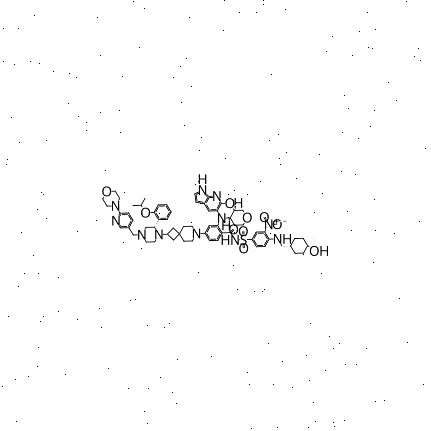 CC(C)Oc1ccccc1[C@H]1CN(Cc2ccc(N3CCOCC3)nc2)CCN1C1CC2(CCN(c3ccc(C(=O)NS(=O)(=O)c4ccc(NC[C@H]5CC[C@](C)(O)CC5)c([N+](=O)[O-])c4)c(N4c5cc6cc[nH]c6nc5O[C@H]5COCC[C@@H]54)c3)CC2)C1